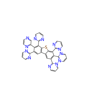 c1cnc(-c2cc3c(sc4c(-c5ncccn5)c(-c5ncccn5)c(-c5ncccn5)cc43)c(-c3ncccn3)c2-c2cnccn2)nc1